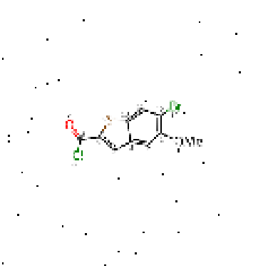 COc1cc2cc(C(=O)Cl)sc2cc1Br